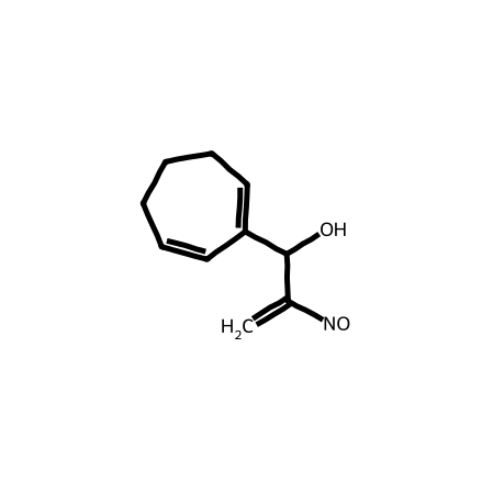 C=C(N=O)C(O)C1=CCCCC=C1